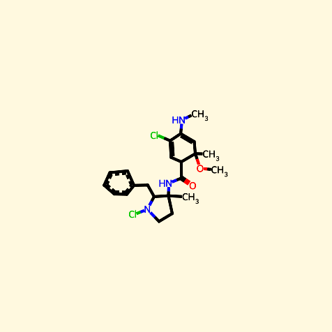 CNC1=CC(C)(OC)C(C(=O)NC2(C)CCN(Cl)C2Cc2ccccc2)C=C1Cl